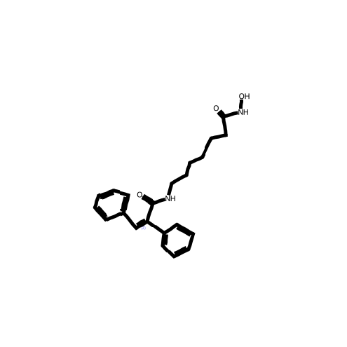 O=C(CCCCCCNC(=O)/C(=C\c1ccccc1)c1ccccc1)NO